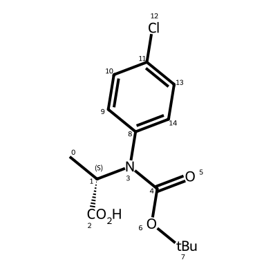 C[C@@H](C(=O)O)N(C(=O)OC(C)(C)C)c1ccc(Cl)cc1